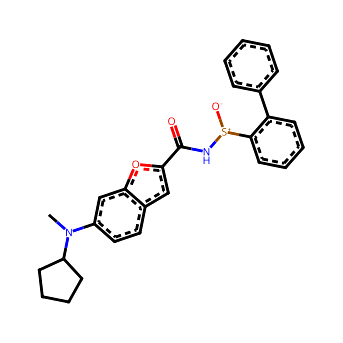 CN(c1ccc2cc(C(=O)N[S+]([O-])c3ccccc3-c3ccccc3)oc2c1)C1CCCC1